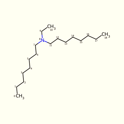 CCCCCCCCN(CC)CCCCCCCC